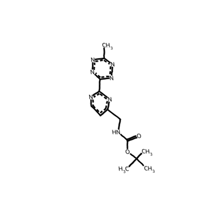 Cc1nnc(-c2nccc(CNC(=O)OC(C)(C)C)n2)nn1